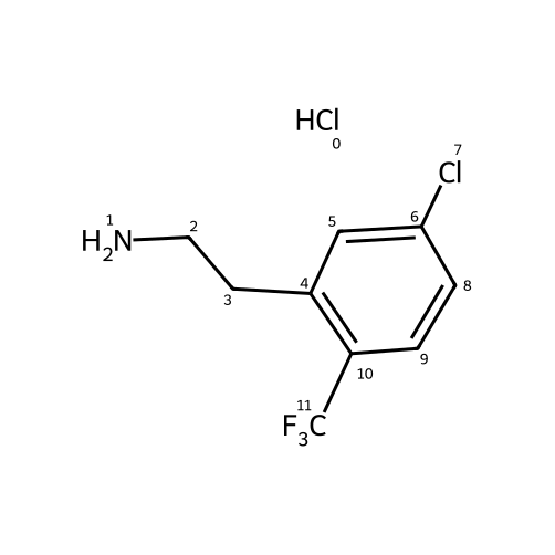 Cl.NCCc1cc(Cl)ccc1C(F)(F)F